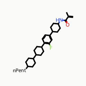 C=C(C)C(=O)NC1CCC(c2ccc(C3CCC(C4CCC(CCCCC)CC4)CC3)c(F)c2)CC1